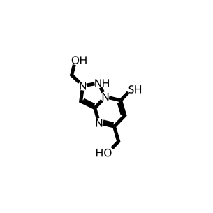 OCC1=NC2=CN(CO)NN2C(S)=C1